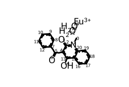 Cn1c(=O)c(C(=O)c2ccccc2)c(O)c2ccccc21.O.O.[Eu+3]